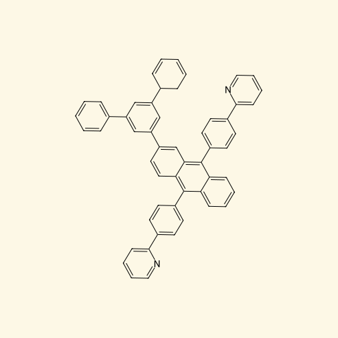 C1=CCC(c2cc(-c3ccccc3)cc(-c3ccc4c(-c5ccc(-c6ccccn6)cc5)c5ccccc5c(-c5ccc(-c6ccccn6)cc5)c4c3)c2)C=C1